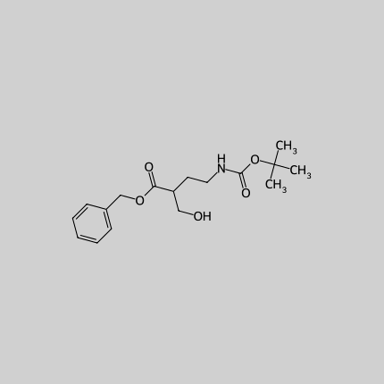 CC(C)(C)OC(=O)NCCC(CO)C(=O)OCc1ccccc1